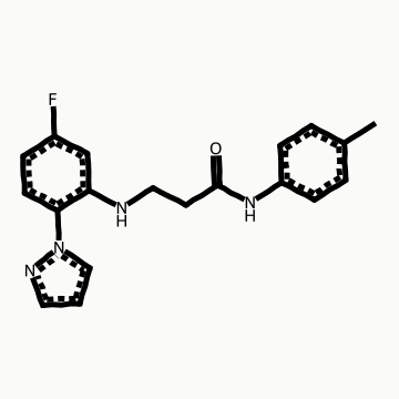 Cc1ccc(NC(=O)CCNc2cc(F)ccc2-n2cccn2)cc1